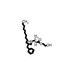 CCCCCCCCCCC(CNC(C)NC(=O)OCCO)Cc1ccccc1